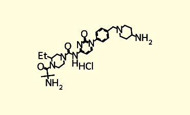 CCC1CN(C(=O)Nc2ccn(-c3ccc(CN4CCC(N)CC4)cc3)c(=O)n2)CCN1C(=O)C(C)(C)N.Cl